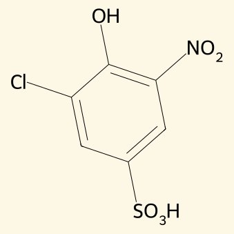 O=[N+]([O-])c1cc(S(=O)(=O)O)cc(Cl)c1O